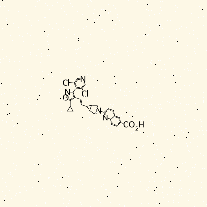 O=C(O)c1ccc2nc(N3CC4C(C=Cc5c(-c6c(Cl)cncc6Cl)noc5C5CC5)C4C3)ccc2c1